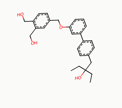 CCC(O)(CC)Cc1ccc(-c2cccc(OCc3ccc(CO)c(CO)c3)c2)cc1